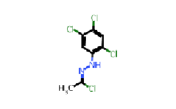 C/C(Cl)=N/Nc1cc(Cl)c(Cl)cc1Cl